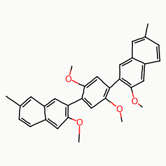 COc1cc(-c2cc3cc(C)ccc3cc2OC)c(OC)cc1-c1cc2cc(C)ccc2cc1OC